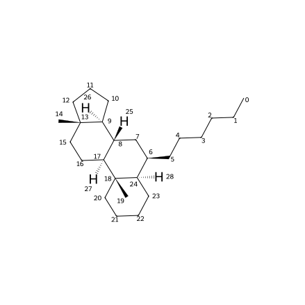 CCCCCC[C@@H]1C[C@H]2[C@@H]3CCC[C@@]3(C)CC[C@@H]2[C@@]2(C)CCCC[C@H]12